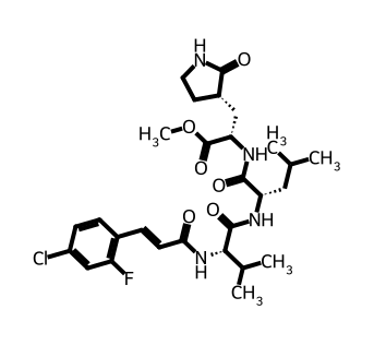 COC(=O)[C@H](C[C@@H]1CCNC1=O)NC(=O)[C@H](CC(C)C)NC(=O)[C@@H](NC(=O)/C=C/c1ccc(Cl)cc1F)C(C)C